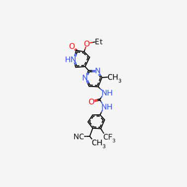 CCOc1cc(-c2ncc(NC(=O)Nc3ccc(C(C)C#N)c(C(F)(F)F)c3)c(C)n2)c[nH]c1=O